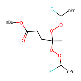 CCCCOC(=O)CCC(C)(OOC(F)CCC)OOC(F)CCC